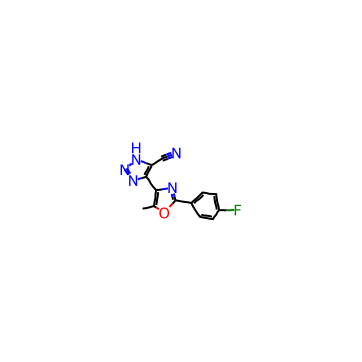 Cc1oc(-c2ccc(F)cc2)nc1-c1nn[nH]c1C#N